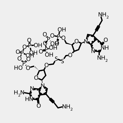 NCC#Cc1cn([C@H]2CC(OCSSCOC3C[C@H](n4cc(C#CCN)c5c(=O)[nH]c(N)nc54)O[C@@H]3COP(=O)(O)OP(=O)(O)OP(=O)(O)O)[C@@H](COP(=O)(O)OP(=O)(O)OP(=O)(O)O)O2)c2nc(N)[nH]c(=O)c12